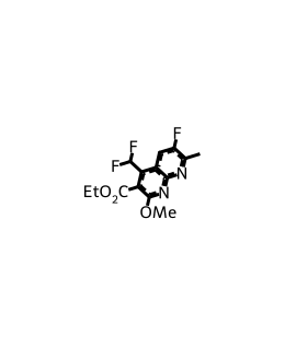 CCOC(=O)c1c(OC)nc2nc(C)c(F)cc2c1C(F)F